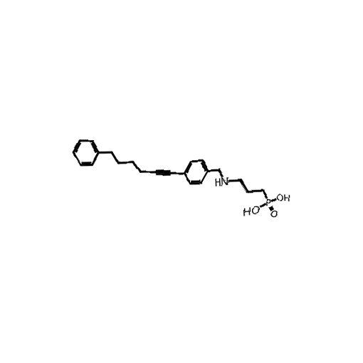 O=P(O)(O)CCCNCc1ccc(C#CCCCCc2ccccc2)cc1